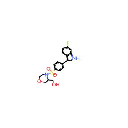 O=S(=O)(c1ccc(-c2c[nH]c3cc(F)ccc23)cc1)N1CCOCC1CO